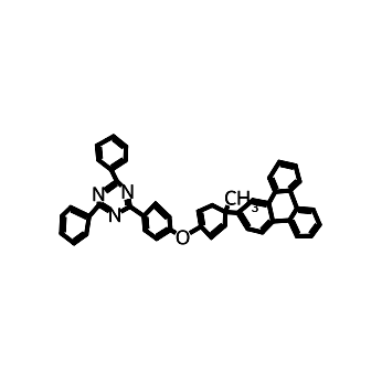 CC1(c2ccc3c4ccccc4c4ccccc4c3c2)C=CC(Oc2ccc(-c3nc(-c4ccccc4)nc(-c4ccccc4)n3)cc2)=CC1